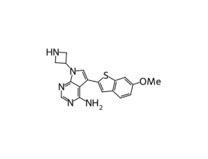 COc1ccc2cc(-c3cn(C4CNC4)c4ncnc(N)c34)sc2c1